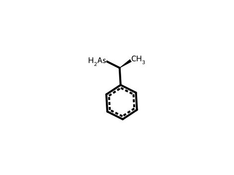 C[C@H]([AsH2])c1ccccc1